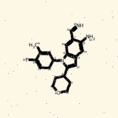 CC1=CC(n2c(C3CCOCC3)cc3cc(N)c(C=N)cc32)CC=C1F